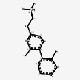 Cc1ccccc1-c1ccc(CC[SiH](C)C)cc1C